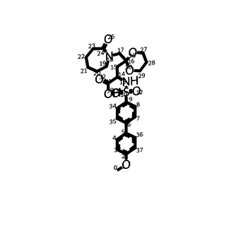 COc1ccc(-c2ccc(S(=O)(=O)NC(CC3(CN4CCCCCC4=O)OCCCO3)C(=O)O)cc2)cc1